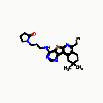 CC(C)Cc1nc2sc3c(NCCCN4CCCC4=O)ncnc3c2c2c1CCC(C)(C)C2